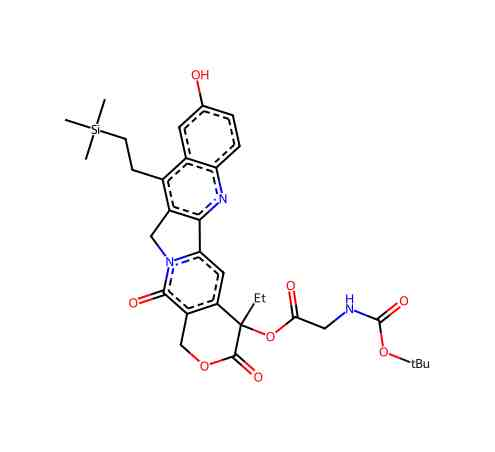 CCC1(OC(=O)CNC(=O)OC(C)(C)C)C(=O)OCc2c1cc1n(c2=O)Cc2c-1nc1ccc(O)cc1c2CC[Si](C)(C)C